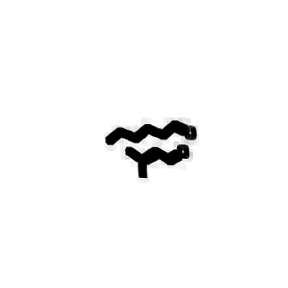 CC(C)=CC=O.CCCCCC=O